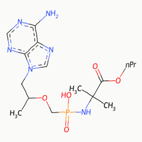 CCCOC(=O)C(C)(C)NP(=O)(O)COC(C)Cn1cnc2c(N)ncnc21